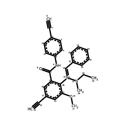 C#Cc1ccc(NC(=O)c2cc(C#C)cc(OC)c2[N+](=Cc2cc[c]cc2)N(C)CC)cc1